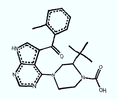 Cc1ccccc1C(=O)c1c[nH]c2ncnc(N3CCN(C(=O)O)C(C(C)(C)C)C3)c12